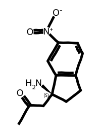 CC(=O)C[C@@]1(N)CCc2ccc([N+](=O)[O-])cc21